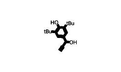 C#CC(O)c1cc(C(C)(C)C)c(O)c(C(C)(C)C)c1